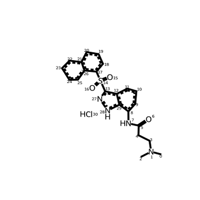 CN(C)CCC(=O)Nc1cccc2c(S(=O)(=O)c3cccc4ccccc34)n[nH]c12.Cl